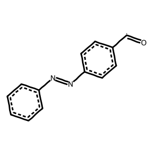 O=[C]c1ccc(N=Nc2ccccc2)cc1